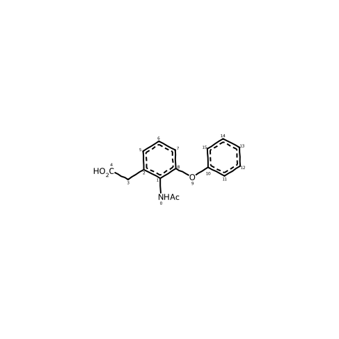 CC(=O)Nc1c(CC(=O)O)cccc1Oc1ccccc1